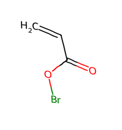 C=CC(=O)OBr